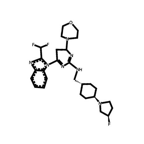 FC(F)c1nc2ccccc2n1C1=NC(NC[C@H]2CC[C@H](N3CC[C@@H](F)C3)CC2)=NC(N2CCOCC2)C1